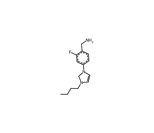 CCCCN1C=CN(c2ccc(CN)c(F)c2)C1